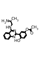 CC(=O)Oc1ccc(O)c(-c2nc(NC[C@@H](C)N)c3ccccc3n2)c1